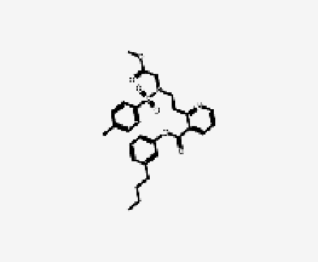 CCCCc1cccc(OC(=O)c2cccnc2CCN(CC(=O)OC)S(=O)(=O)c2ccc(C)cc2)c1